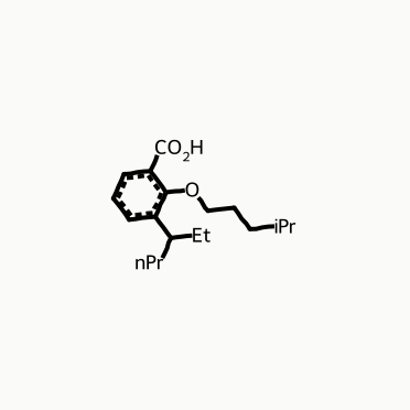 CCCC(CC)c1cccc(C(=O)O)c1OCCCC(C)C